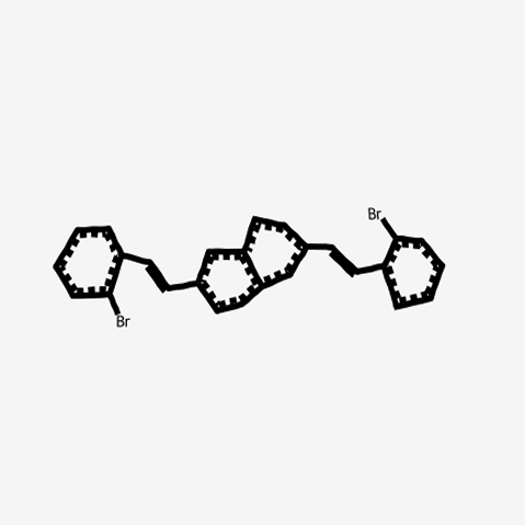 Brc1ccccc1C=Cc1ccc2cc(C=Cc3ccccc3Br)ccc2c1